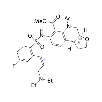 CCN(CC)C/C=C\c1cc(F)ccc1S(=O)(=O)Nc1ccc2c(c1C(=O)OC)N(C(C)=O)C[C@H]1OCC[C@@H]21